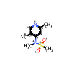 Cc1cc(N(C)S(C)(=O)=O)c(C#N)cn1